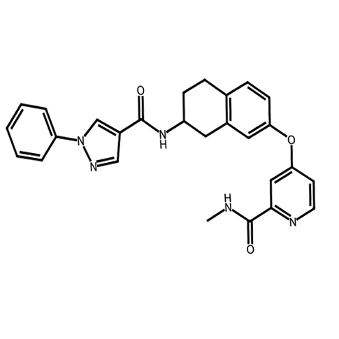 CNC(=O)c1cc(Oc2ccc3c(c2)CC(NC(=O)c2cnn(-c4ccccc4)c2)CC3)ccn1